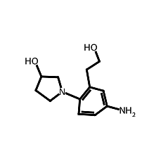 Nc1ccc(N2CCC(O)C2)c(CCO)c1